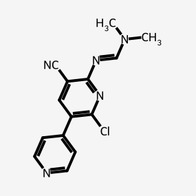 CN(C)C=Nc1nc(Cl)c(-c2ccncc2)cc1C#N